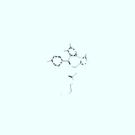 COCCOC(=O)C[C@@H]1N=C(c2ccc(C(C)C)cc2)c2c(sc(C)c2C)-n2c(C)nnc21